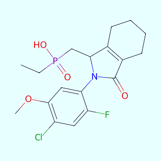 CCP(=O)(O)CC1C2=C(CCCC2)C(=O)N1c1cc(OC)c(Cl)cc1F